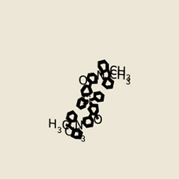 CC1(C)c2ccccc2N(c2ccc3oc4ccc([Si](c5ccccc5)(c5ccccc5)c5ccc6oc7ccc(N8c9ccccc9C(C)(C)c9ccccc98)cc7c6c5)cc4c3c2)c2ccccc21